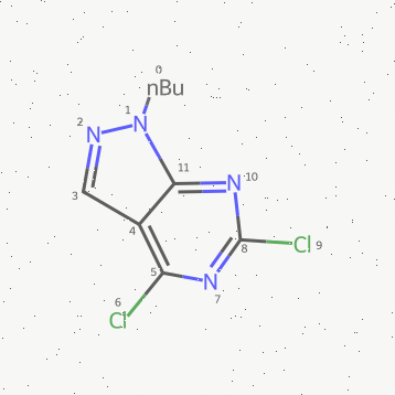 CCCCn1ncc2c(Cl)nc(Cl)nc21